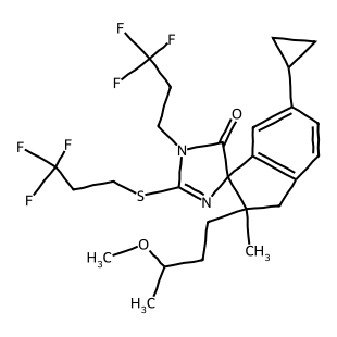 COC(C)CCC1(C)Cc2ccc(C3CC3)cc2C12N=C(SCCC(F)(F)F)N(CCC(F)(F)F)C2=O